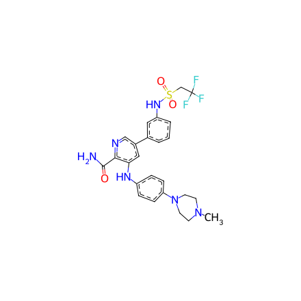 CN1CCN(c2ccc(Nc3cc(-c4cccc(NS(=O)(=O)CC(F)(F)F)c4)cnc3C(N)=O)cc2)CC1